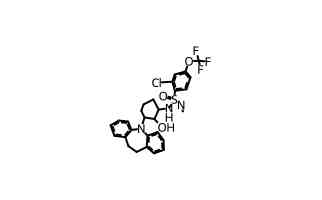 CN=S(=O)(NC1CCCC(N2c3ccccc3CCc3ccccc32)C1O)c1ccc(OC(F)(F)F)cc1Cl